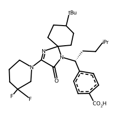 CC(C)CC[C@H](c1ccc(C(=O)O)cc1)N1C(=O)C(N2CCCC(F)(F)C2)=NC12CCC(C(C)(C)C)CC2